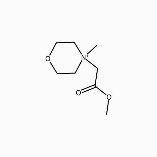 COC(=O)C[N+]1(C)CCOCC1